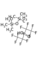 C[Si](C)(C)O[Si](C)(C)C.O=P(O)(C(F)(F)C(F)(F)F)C(F)(F)C(F)(F)F